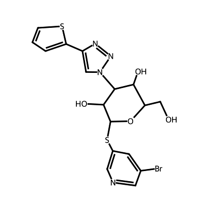 OCC1OC(Sc2cncc(Br)c2)C(O)C(n2cc(-c3cccs3)nn2)C1O